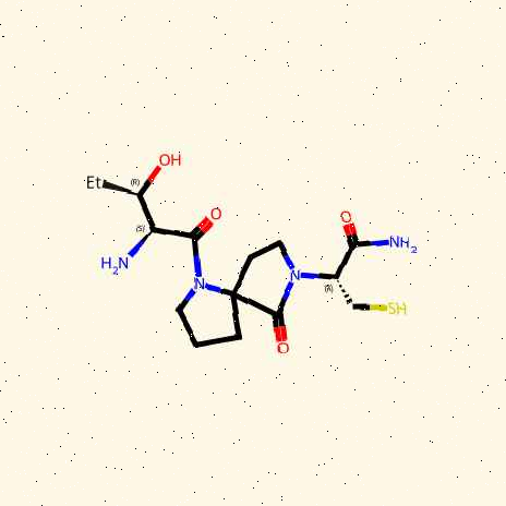 CC[C@@H](O)[C@H](N)C(=O)N1CCCC12CCN([C@@H](CS)C(N)=O)C2=O